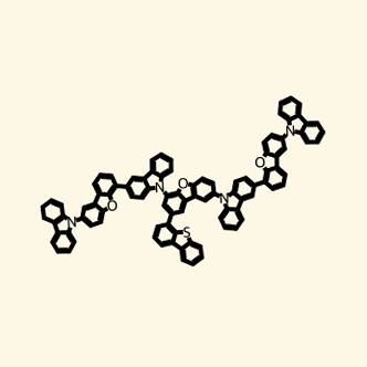 C1=Cc2c(c3ccccc3n2-c2ccc3oc4c(-c5ccc6c(c5)c5ccccc5n6-c5cc(-c6cccc7c6sc6ccccc67)cc6c5oc5ccc(-n7c8ccccc8c8cc(-c9cccc%10c9oc9ccc(-n%11c%12ccccc%12c%12ccccc%12%11)cc9%10)ccc87)cc56)cccc4c3c2)CC1